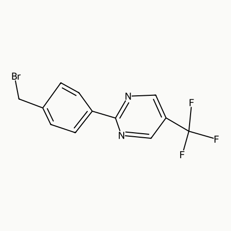 FC(F)(F)c1cnc(-c2ccc(CBr)cc2)nc1